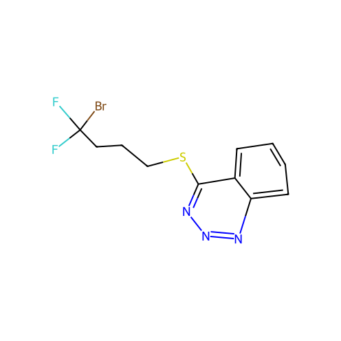 FC(F)(Br)CCCSc1nnnc2ccccc12